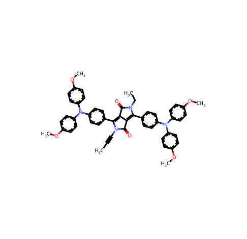 CC#CN1C(=O)C2=C(c3ccc(N(c4ccc(OC)cc4)c4ccc(OC)cc4)cc3)N(CC)C(=O)C2=C1c1ccc(N(c2ccc(OC)cc2)c2ccc(OC)cc2)cc1